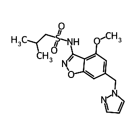 COc1cc(Cn2cccn2)cc2onc(NS(=O)(=O)CC(C)C)c12